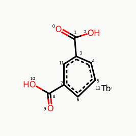 O=C(O)c1cccc(C(=O)O)c1.[Tb]